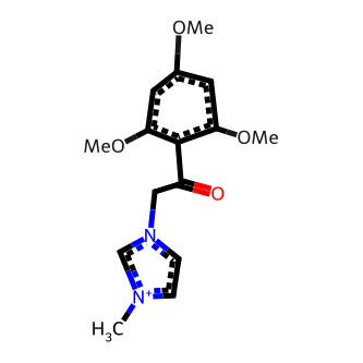 COc1cc(OC)c(C(=O)Cn2cc[n+](C)c2)c(OC)c1